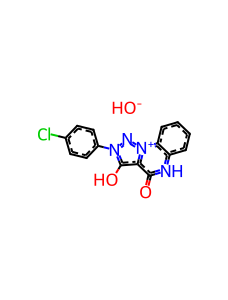 O=c1[nH]c2ccccc2[n+]2nn(-c3ccc(Cl)cc3)c(O)c12.[OH-]